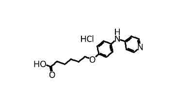 Cl.O=C(O)CCCCCOc1ccc(Nc2ccncc2)cc1